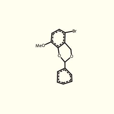 COc1ccc(Br)c2c1OC(c1ccccc1)OC2